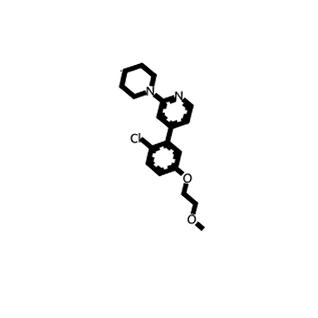 COCCOc1ccc(Cl)c(-c2ccnc(N3CC[CH]CC3)c2)c1